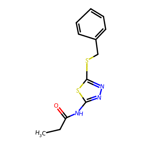 CCC(=O)Nc1nnc(SCc2ccccc2)s1